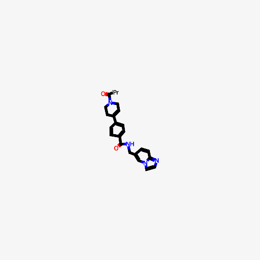 CC(C)C(=O)N1CC=C(c2ccc(C(=O)NCc3ccc4nccn4c3)cc2)CC1